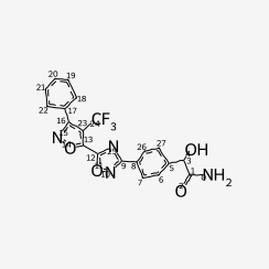 NC(=O)C(O)c1ccc(-c2noc(-c3onc(-c4ccccc4)c3C(F)(F)F)n2)cc1